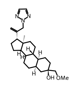 C=C(Cn1nccn1)[C@H]1CC[C@H]2[C@@H]3CC[C@@H]4C[C@@](O)(COC)CC[C@@H]4[C@H]3CC[C@]12C